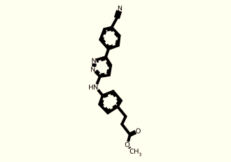 COC(=O)CCc1ccc(Nc2ccc(-c3ccc(C#N)cc3)nn2)cc1